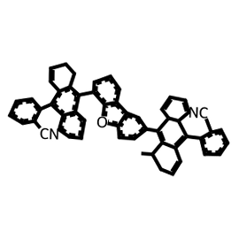 CC1CC=CC2=C(c3ccccc3C#N)C3C=CC=CC3C(c3ccc4oc5c(-c6c7c(c(-c8ccccc8C#N)c8ccccc68)C=CCC7)cccc5c4c3)=C21